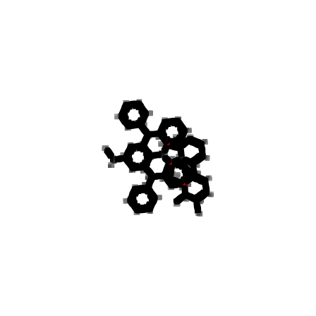 C=C1N2C(=CN1c1c(C(c3ccccc3)c3ccccc3)cc(OC)cc1C(c1ccccc1)c1ccccc1)C=CC=C2C1=CC=C(C)C(C)[C@H]1C